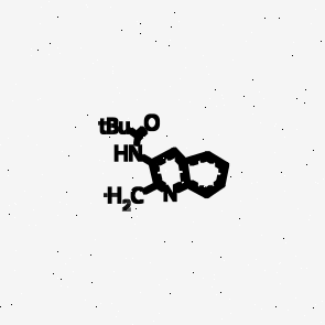 [CH2]c1nc2ccccc2cc1NC(=O)C(C)(C)C